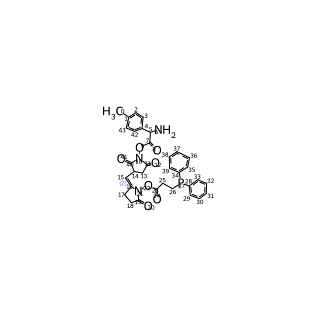 Cc1ccc(C(N)C(=O)ON2C(=O)CC(/C=C3/CCC(=O)N3OC(=O)CCP(c3ccccc3)c3ccccc3)C2=O)cc1